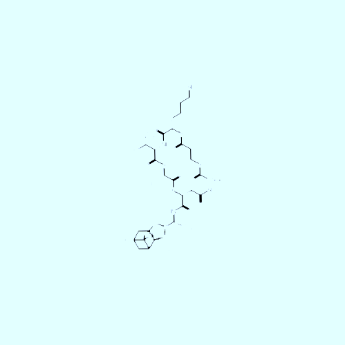 CCCCCCCCCC(=O)NCCC(=O)N[C@@H](CCCCN)C(=O)N[C@H](C(=O)N[C@@H](C)C(=O)N[C@@H](CC(N)=O)C(=O)N[C@@H](C)B1OC2C[C@@H]3C[C@@H](C3(C)C)[C@]2(C)O1)[C@@H](C)O